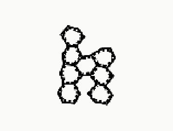 c1ccc2c(c1)cc1cc3ccccc3c3c1c2c1cccc2cc4ccccc4c3c21